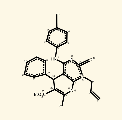 C=CCn1c2c(c(Nc3ccc(C)cc3)nc1=O)C(c1ccccc1)C(C(=O)OCC)=C(C)N2